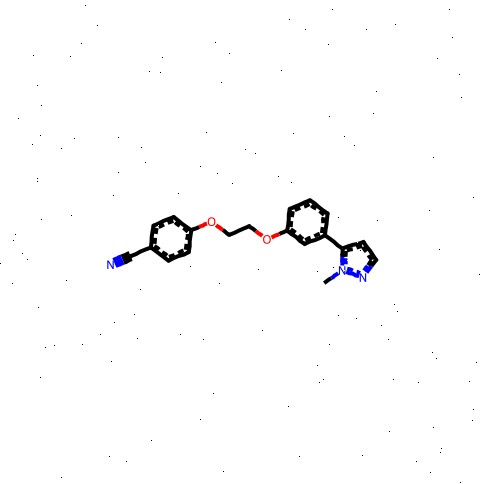 Cn1nccc1-c1cccc(OCCOc2ccc(C#N)cc2)c1